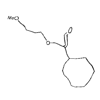 COCCOC(=O)C1CCCCC1